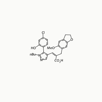 CCCCn1ncc(C=C(Cc2cc3c(cc2OC)CCO3)C(=O)O)c1-c1ccc(Cl)cc1O